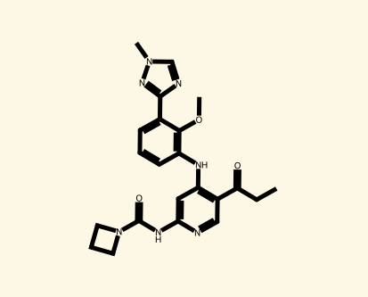 CCC(=O)c1cnc(NC(=O)N2CCC2)cc1Nc1cccc(-c2ncn(C)n2)c1OC